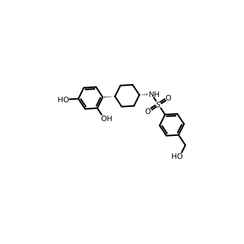 O=S(=O)(N[C@H]1CC[C@@H](c2ccc(O)cc2O)CC1)c1ccc(CO)cc1